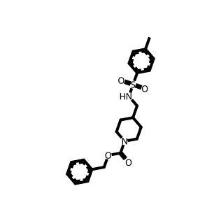 Cc1ccc(S(=O)(=O)NCC2CCN(C(=O)OCc3ccccc3)CC2)cc1